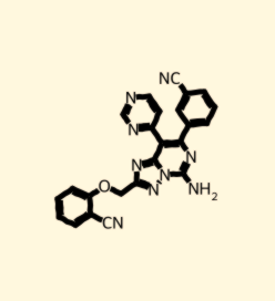 N#Cc1cccc(-c2nc(N)n3nc(COc4ccccc4C#N)nc3c2-c2ccncn2)c1